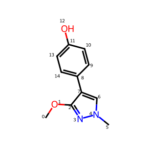 COc1nn(C)cc1-c1ccc(O)cc1